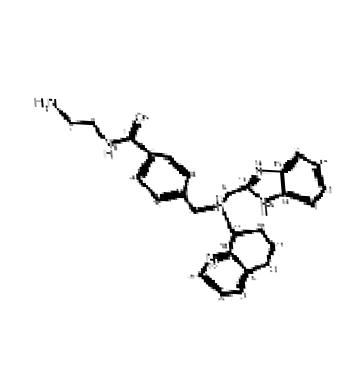 NCCNC(=O)c1ccc(CN(Cc2nc3ccccc3[nH]2)C2CCCc3cccnc32)cc1